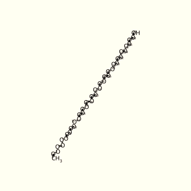 COOOOOOOOOOOOOOOOOOOOOOOOOOOOOOOOOOOOOOO